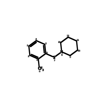 FC(F)(F)c1ccccc1SN1CCCCC1